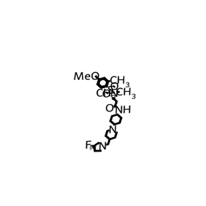 COc1cc(C)c(S(=O)(=O)N(C)CCC(=O)N[C@H]2CC[C@H](N3CCC(CN4CC[C@@H](F)C4)CC3)CC2)c(C)c1